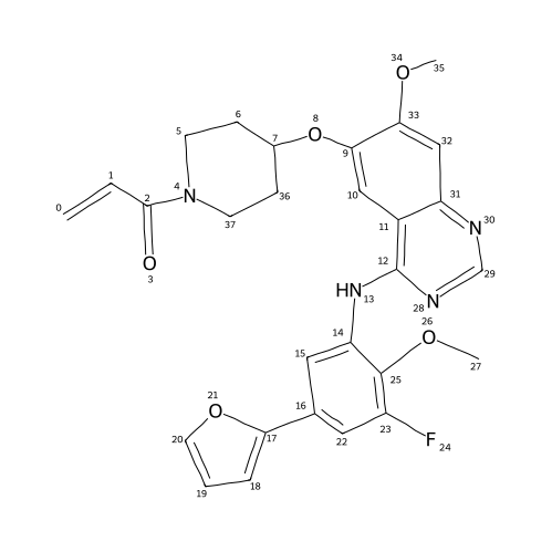 C=CC(=O)N1CCC(Oc2cc3c(Nc4cc(-c5ccco5)cc(F)c4OC)ncnc3cc2OC)CC1